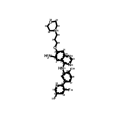 Nc1cc2c(Nc3cc(-c4ncc(F)cc4F)ccc3F)ncnc2cc1OCCCN1CCOCC1